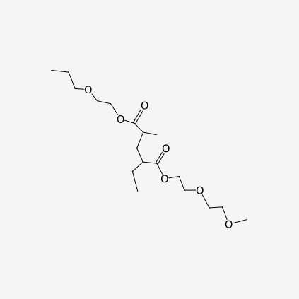 CCCOCCOC(=O)C(C)CC(CC)C(=O)OCCOCCOC